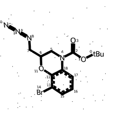 CC(C)(C)OC(=O)N1CC(CN=[N+]=[N-])Oc2c(Br)cccc21